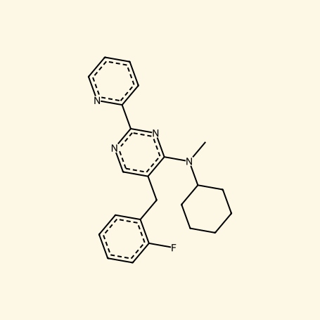 CN(c1nc(-c2ccccn2)ncc1Cc1ccccc1F)C1CCCCC1